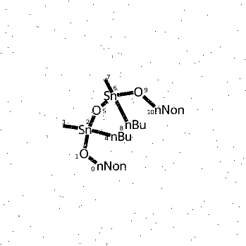 CCCCCCCCC[O][Sn]([CH3])([CH2]CCC)[O][Sn]([CH3])([CH2]CCC)[O]CCCCCCCCC